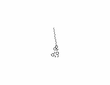 C=C(C)C(=O)OCCCCCCCCCCCCCCCC.C=Cc1ccccc1.C=Cc1ccccc1C=C